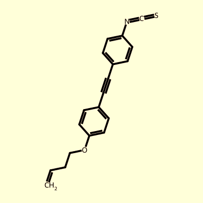 C=CCCOc1ccc(C#Cc2ccc(N=C=S)cc2)cc1